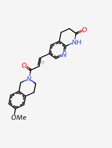 COc1ccc2c(c1)CCN(C(=O)/C=C/c1cnc3c(c1)CCC(=O)N3)C2